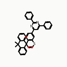 CC1(C)c2ccccc2C2(c3ccccc3Sc3cc(-c4cc(-c5ccccc5)nc(-c5ccccc5)n4)ccc32)c2ccccc21